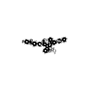 COc1cc2c3c(c4c(c2cc1N1CCN(c2ccc(OC(=O)c5ccc(F)cc5)cc2)CC1)-c1ccccc1C4(C)C)C=CC(c1ccccc1)(c1ccc(N2CCN(c4ccccc4)CC2)cc1)O3